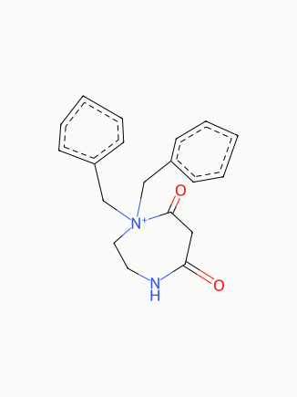 O=C1CC(=O)[N+](Cc2ccccc2)(Cc2ccccc2)CCN1